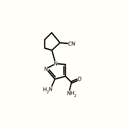 N#CC1CCCC1n1cc(C(N)=O)c(N)n1